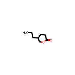 CCCC1CCC(=O)OC1